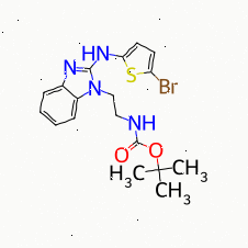 CC(C)(C)OC(=O)NCCn1c(Nc2ccc(Br)s2)nc2ccccc21